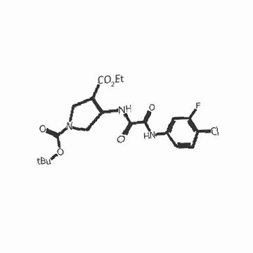 CCOC(=O)C1CN(C(=O)OC(C)(C)C)CC1NC(=O)C(=O)Nc1ccc(Cl)c(F)c1